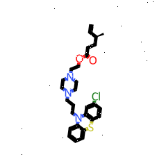 C=C[C@@H](C)CCC(=O)OCCN1CCN(CCCN2c3ccccc3Sc3ccc(Cl)cc32)CC1